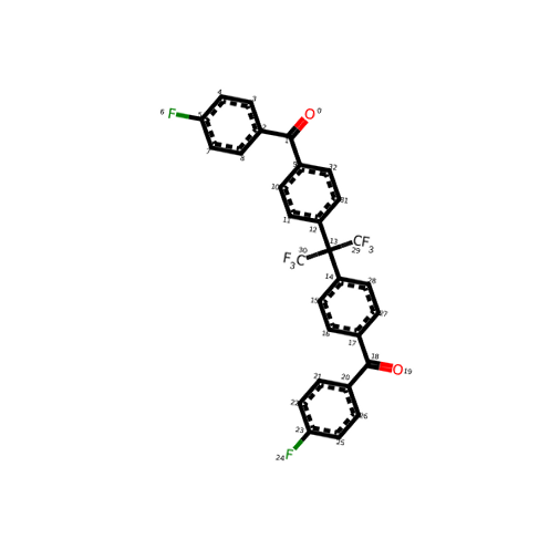 O=C(c1ccc(F)cc1)c1ccc(C(c2ccc(C(=O)c3ccc(F)cc3)cc2)(C(F)(F)F)C(F)(F)F)cc1